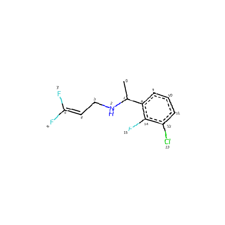 CC(NCC=C(F)F)c1cccc(Cl)c1F